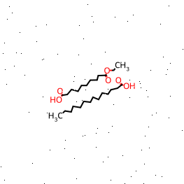 CCCCCCCCCCCCCC(=O)O.CCOC(=O)CCCCCCCCC(=O)O